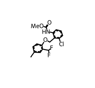 COC(=O)Nc1cccc(Cl)c1COc1ccc(C)cc1C(F)F